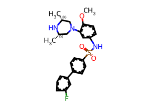 COc1ccc(NS(=O)(=O)c2ccc(-c3cccc(F)c3)cc2)cc1N1C[C@@H](C)N[C@@H](C)C1